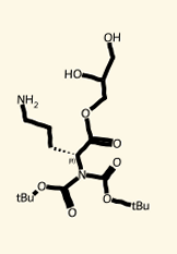 CC(C)(C)OC(=O)N(C(=O)OC(C)(C)C)[C@H](CCCN)C(=O)OCC(O)CO